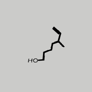 C=CC(C)CCCCO